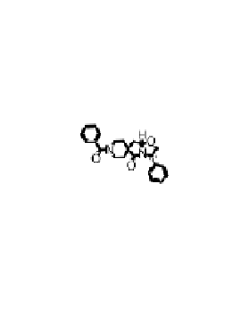 O=C(c1ccccc1)N1CCC2(CC1)C[C@@H]1OC[C@@H](c3ccccc3)N1C2=O